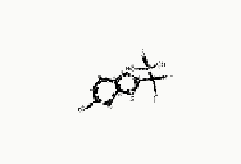 O=P(O)(O)C(F)(F)c1cc2ccc(Br)cc2s1